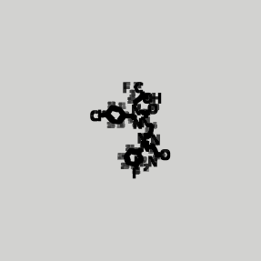 NC(=O)c1nc(Cn2nc(-c3ccc(Cl)cc3)n(CC(O)C(F)(F)F)c2=O)nn1-c1cccc(F)c1